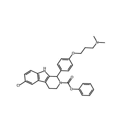 CN(C)CCCOc1ccc(C2c3[nH]c4ccc(Cl)cc4c3CCN2C(=O)Oc2ccccc2)cc1